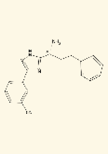 N#Cc1cccc(-c2n[nH]c([C@H](N)CCc3ccccc3)n2)c1